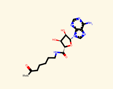 CNC(=O)CCCCCNC(=O)[C@H]1O[C@@H](n2cnc3c(N)ncnc32)[C@H](O)[C@@H]1O